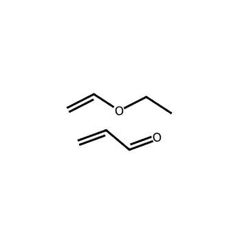 C=CC=O.C=COCC